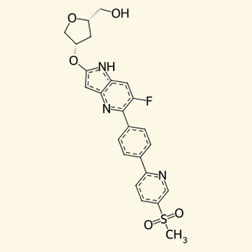 CS(=O)(=O)c1ccc(-c2ccc(-c3nc4cc(O[C@@H]5CO[C@H](CO)C5)[nH]c4cc3F)cc2)nc1